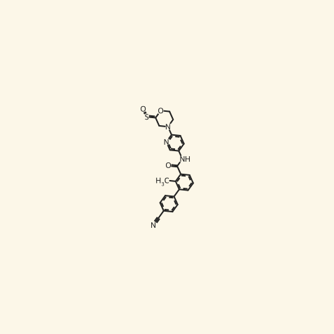 Cc1c(C(=O)Nc2ccc(N3CCOC(=S=O)C3)nc2)cccc1-c1ccc(C#N)cc1